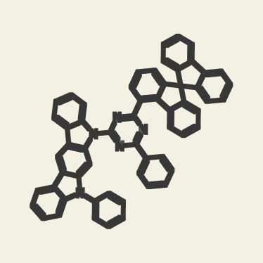 c1ccc(-c2nc(-c3cccc4c3-c3ccccc3C43c4ccccc4-c4ccccc43)nc(-n3c4ccccc4c4cc5c6ccccc6n(-c6ccccc6)c5cc43)n2)cc1